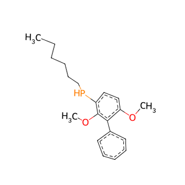 CCCCCCPc1ccc(OC)c(-c2ccccc2)c1OC